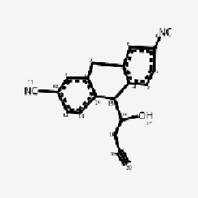 [C-]#[N+]c1ccc2c(c1)Cc1cc(C#N)ccc1C2C(O)CC#C